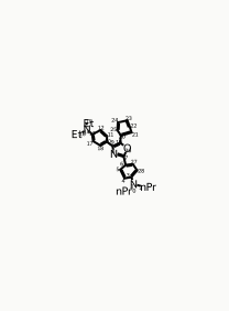 CCCN(CCC)c1ccc(-c2nc(-c3ccc(N(CC)CC)cc3)c(-c3ccccc3)o2)cc1